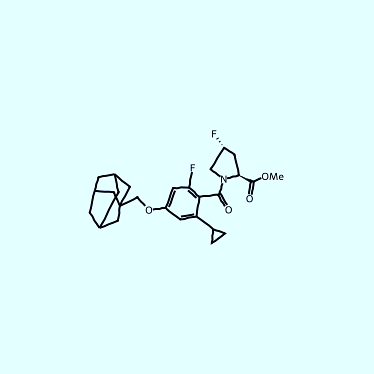 COC(=O)[C@@H]1C[C@@H](F)CN1C(=O)c1c(F)cc(OCC23CC4CC(CC(C4)C2)C3)cc1C1CC1